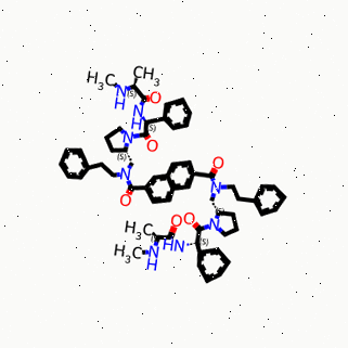 CN[C@@H](C)C(=O)N[C@H](C(=O)N1CCC[C@H]1CN(CCc1ccccc1)C(=O)c1ccc2cc(C(=O)N(CCc3ccccc3)C[C@@H]3CCCN3C(=O)[C@@H](NC(=O)[C@H](C)NC)c3ccccc3)ccc2c1)c1ccccc1